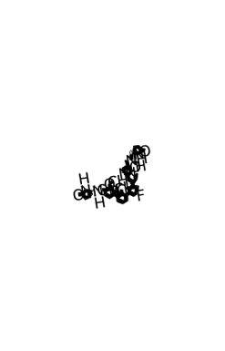 COc1nc(-c2cccc(-c3cc(F)cc(-c4ccn5c(=O)c(CNC[C@H]6CCC(=O)N6)cnc5c4)c3Cl)c2Cl)ccc1CNC[C@@H]1CCC(=O)N1